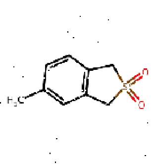 Cc1ccc2c(c1)CS(=O)(=O)C2